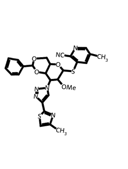 COC1C(Sc2cc(C)cnc2C#N)OC2COC(c3ccccc3)OC2C1n1cc(-c2nc(C)cs2)nn1